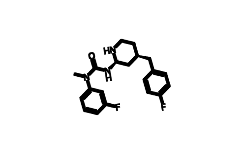 CN(C(=O)N[C@@H]1C[C@H](Cc2ccc(F)cc2)CCN1)c1cccc(F)c1